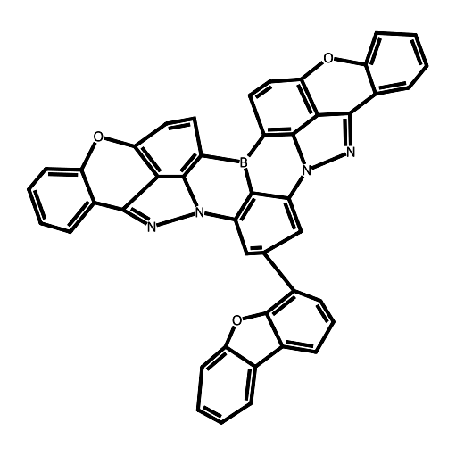 c1ccc2c(c1)Oc1ccc3c4c1c-2nn4-c1cc(-c2cccc4c2oc2ccccc24)cc2c1B3c1ccc3c4c(nn-2c14)-c1ccccc1O3